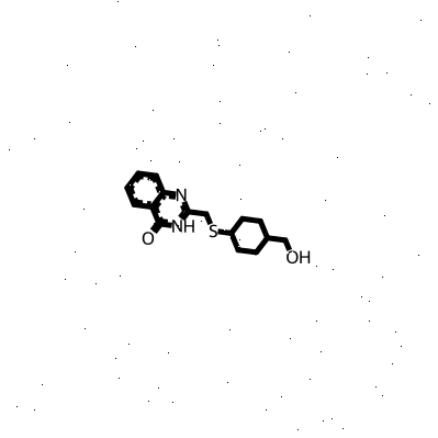 O=c1[nH]c(CSC2CCC(CO)CC2)nc2ccccc12